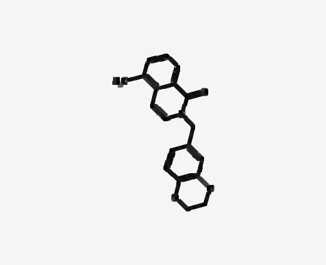 Cc1cccc2c(=O)n(Cc3ccc4c(c3)OCCO4)ccc12